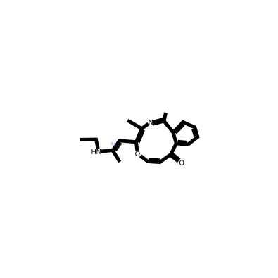 CCN/C(C)=C/c1occc(=O)c2ccccc2c(C)nc1C